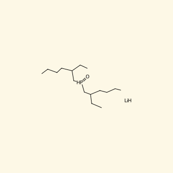 CCCCC(CC)C[PH](=O)CC(CC)CCCC.[LiH]